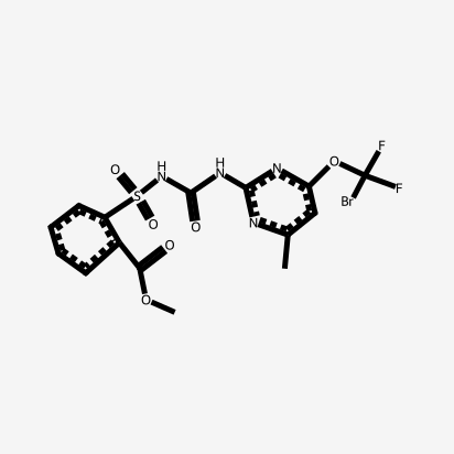 COC(=O)c1ccccc1S(=O)(=O)NC(=O)Nc1nc(C)cc(OC(F)(F)Br)n1